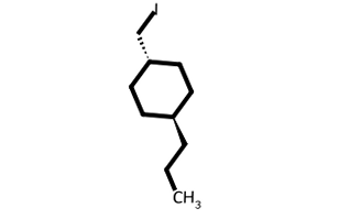 CCC[C@H]1CC[C@H](CI)CC1